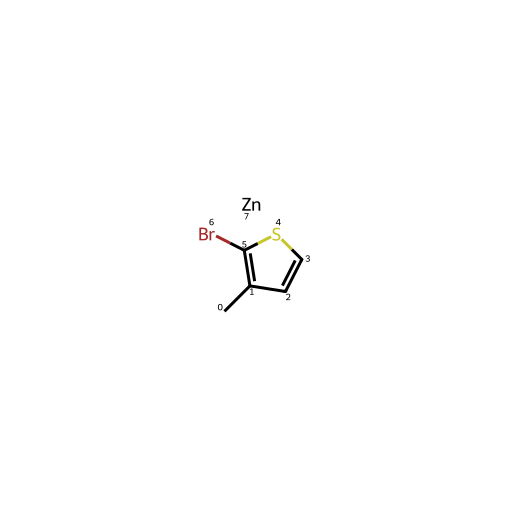 Cc1ccsc1Br.[Zn]